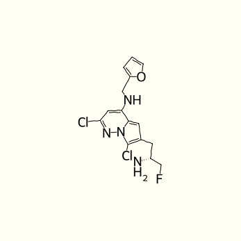 N[C@@H](CF)Cc1cc2c(NCc3ccco3)cc(Cl)nn2c1Cl